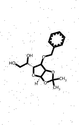 CC1(C)OC2C(OCc3ccccc3)[C@@H](C(O)CO)O[C@@H]2O1